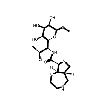 CSC1O[C@H]([C@H](NC(=O)[C@H]2NC[C@@H]3CNCCO[C@H]32)[C@H](C)Cl)[C@@H](O)C(O)[C@H]1O